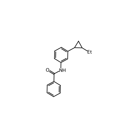 CCC1CC1c1cccc(NC(=O)c2ccccc2)c1